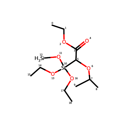 CCOC(=O)C(OC(C)C)[Si](O[SiH3])(OCC)OCC